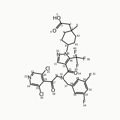 CC1(CC(=O)O)CCC(n2ncc(C(=O)N(CC(=O)c3c(Cl)cncc3Cl)Cc3cc(F)cc(F)c3)c2C(F)(F)F)CC1